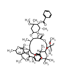 CC[C@H]1OC(=O)[C@H](C)[C@@H](OC2C[C@@](C)(OC)[C@@H](OC(=O)c3ccccc3)[C@H](C)O2)[C@H](C)[C@@H](OC2O[C@H](C)C[C@H](N(C)C)[C@H]2OC(=O)c2ccccc2)[C@@](C)(OC)C[C@@H](C)[C@@H]2OC(C)(C)O[C@H]([C@H]2C)[C@]1(C)C(F)(F)F